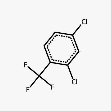 FC(F)(F)c1ccc(Cl)[c]c1Cl